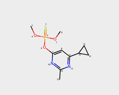 COP(=S)(OC)Oc1cc(C2CC2)nc(C)n1